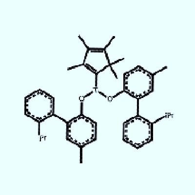 CC1=C(C)C(C)(C)[C]([Ti]([O]c2ccc(C)cc2-c2ccccc2C(C)C)[O]c2ccc(C)cc2-c2ccccc2C(C)C)=C1C